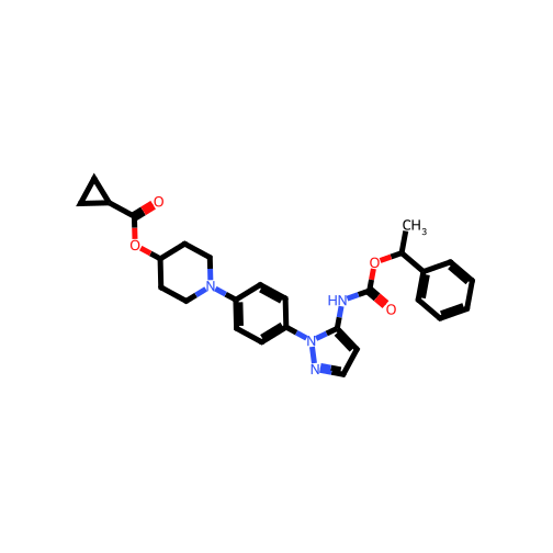 CC(OC(=O)Nc1ccnn1-c1ccc(N2CCC(OC(=O)C3CC3)CC2)cc1)c1ccccc1